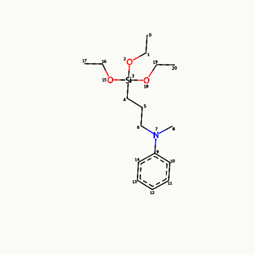 CCO[Si](CCCN(C)c1ccccc1)(OCC)OCC